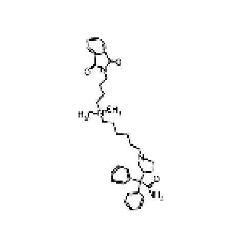 C[N+](C)(CCCCCCN1CCC(C(C(N)=O)(c2ccccc2)c2ccccc2)C1)CCCCN1C(=O)c2ccccc2C1=O